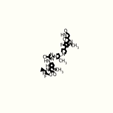 C[C@@H]1CN(c2ncc(Cl)c(Nc3ccc4c(c3)c3c(c(=O)n4C)OCC(F)(F)[C@H](C4CC4)N3)n2)CC[C@@H]1CN1CCC(c2cc3c(cc2F)c(C2CCC(=O)NC2=O)nn3C)CC1